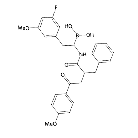 COc1ccc(C(=O)CC(Cc2ccccc2)C(=O)NC(Cc2cc(F)cc(OC)c2)B(O)O)cc1